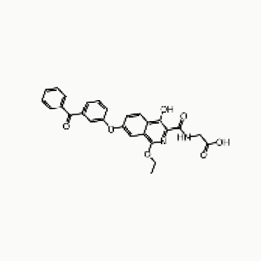 CCOc1nc(C(=O)NCC(=O)O)c(O)c2ccc(Oc3cccc(C(=O)c4ccccc4)c3)cc12